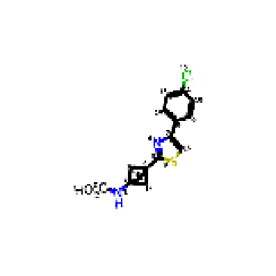 O=C(O)NC12CC(c3nc(-c4ccc(Cl)cc4)cs3)(C1)C2